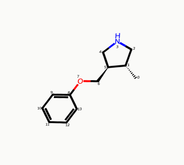 C[C@H]1CNC[C@@H]1COc1ccccc1